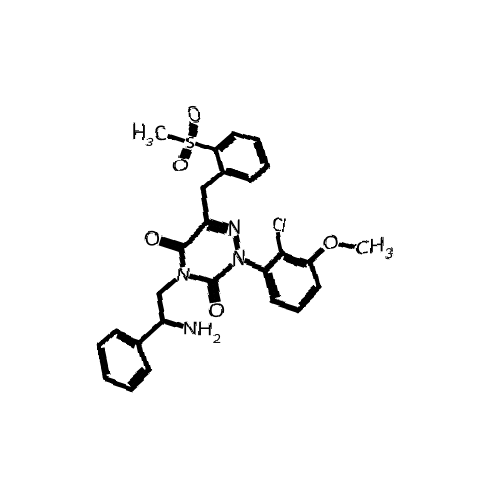 COc1cccc(-n2nc(Cc3ccccc3S(C)(=O)=O)c(=O)n(CC(N)c3ccccc3)c2=O)c1Cl